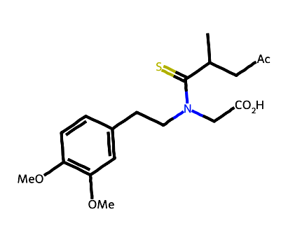 COc1ccc(CCN(CC(=O)O)C(=S)C(C)CC(C)=O)cc1OC